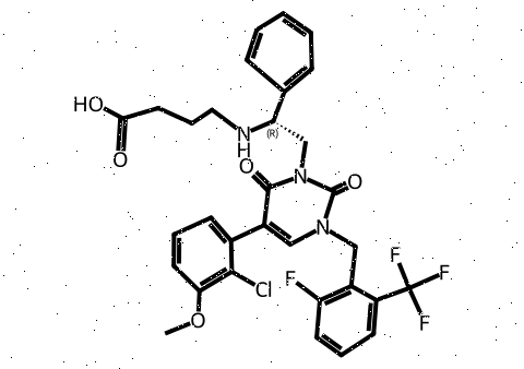 COc1cccc(-c2cn(Cc3c(F)cccc3C(F)(F)F)c(=O)n(C[C@H](NCCCC(=O)O)c3ccccc3)c2=O)c1Cl